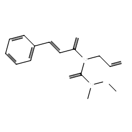 CON(C)C(=O)N(C[C]=O)C(=O)C=Cc1ccccc1